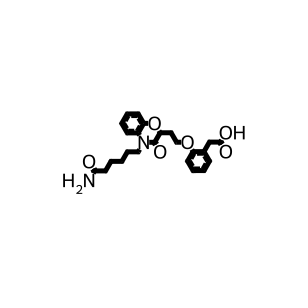 NC(=O)CCCCCN1C(=O)C(CCOc2ccccc2CC(=O)O)Oc2ccccc21